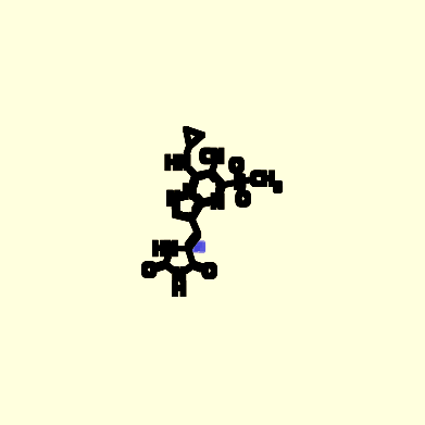 CS(=O)(=O)c1nc2c(/C=C3\NC(=O)NC3=O)cnn2c(NC2CC2)c1C#N